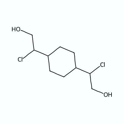 OCC(Cl)C1CCC(C(Cl)CO)CC1